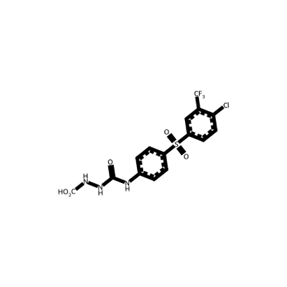 O=C(O)NNC(=O)Nc1ccc(S(=O)(=O)c2ccc(Cl)c(C(F)(F)F)c2)cc1